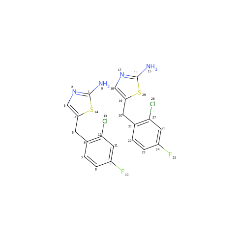 Nc1ncc(Cc2ccc(F)cc2Cl)s1.Nc1ncc(Cc2ccc(F)cc2Cl)s1